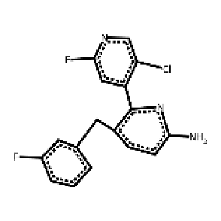 Nc1ccc(Cc2cccc(F)c2)c(-c2cc(F)ncc2Cl)n1